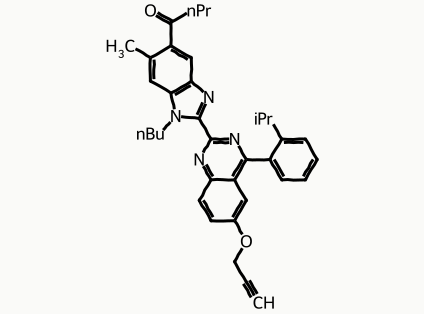 C#CCOc1ccc2nc(-c3nc4cc(C(=O)CCC)c(C)cc4n3CCCC)nc(-c3ccccc3C(C)C)c2c1